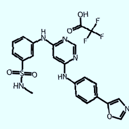 CNS(=O)(=O)c1cccc(Nc2cc(Nc3ccc(-c4cnco4)cc3)ncn2)c1.O=C(O)C(F)(F)F